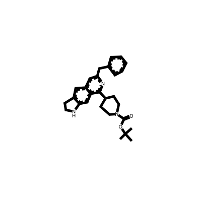 CC(C)(C)OC(=O)N1CCC(c2nc(Cc3ccccc3)cc3cc4c(cc23)NCC4)CC1